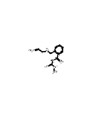 C=CCNCc1ccccc1C(=N)NC(=O)OC(C)(C)C